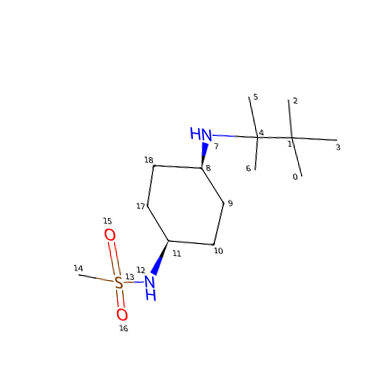 CC(C)(C)C(C)(C)N[C@H]1CC[C@@H](NS(C)(=O)=O)CC1